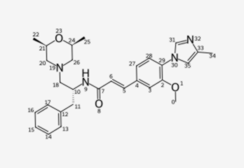 COc1cc(C=CC(=O)N[C@H](Cc2ccccc2)CN2C[C@@H](C)O[C@@H](C)C2)ccc1-n1cnc(C)c1